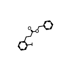 O=C(CCc1ccccc1I)OCc1ccccc1